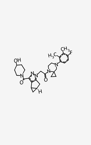 Cc1c(F)ccc(N2CCN(C(=O)Cn3nc(C(=O)N4CCC(O)CC4)c4c3C[C@H]3CC43)C3(CC3)C2)c1C